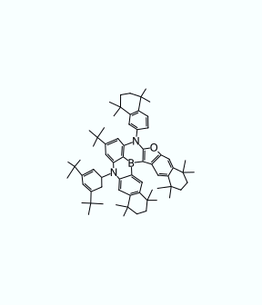 CC(C)(C)C1=CC(N2c3cc4c(cc3B3c5c(cc(C(C)(C)C)cc52)N(c2ccc5c(c2)C(C)(C)CCC5(C)C)c2oc5cc6c(cc5c23)C(C)(C)CCC6(C)C)C(C)(C)CCC4(C)C)CC(C(C)(C)C)=C1